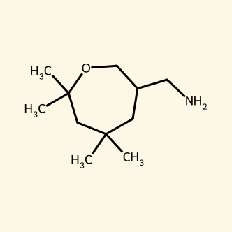 CC1(C)CC(CN)COC(C)(C)C1